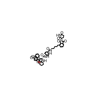 O=C1CCC(N2C(=O)c3cccc(CCCCCNC(=O)c4ccc(NC(=O)[C@@H]5NC6(CCCCC6)[C@@]6(C(=O)Nc7cc(Cl)ccc76)[C@H]5c5cccc(Cl)c5F)cc4)c3C2=O)C(=O)N1